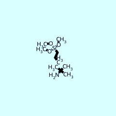 CC(C)(C)N.CCC[Si](OC)(OC)OC